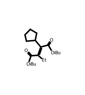 CCC(C(=O)OCC(C)C)=C(C(=O)OCC(C)C)C1CCCC1